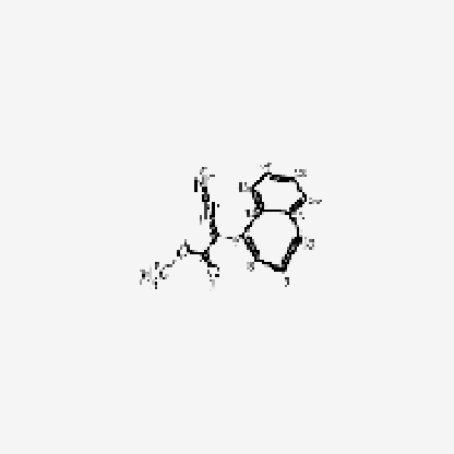 COC(=O)C(=[N+]=[N-])c1cccc2ccccc12